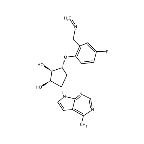 C=NCc1cc(F)ccc1O[C@@H]1C[C@H](n2ccc3c(C)ncnc32)[C@@H](O)[C@H]1O